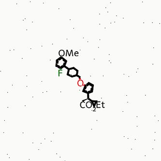 CCOC(=O)C[C@@H](c1cccc(OCC2CCC(c3cc(OC)ccc3F)CC2)c1)C1CC1